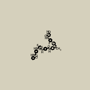 CN(CC1CCN(c2ccc(NC3CCC(=O)NC3=O)cc2F)CC1)C1CCC(NC(=O)c2ccc(Nc3ncc(F)c(Nc4ccc(C(=O)Nc5ccccc5Cl)cc4)n3)cc2)CC1